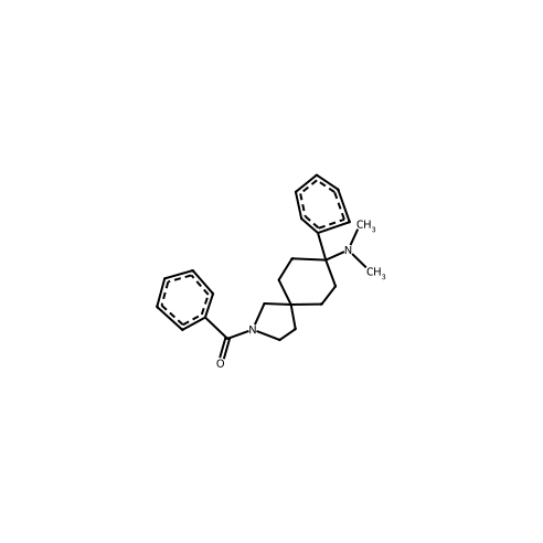 CN(C)C1(c2ccccc2)CCC2(CCN(C(=O)c3ccccc3)C2)CC1